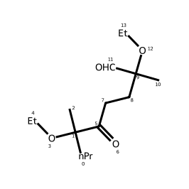 [CH2]CCC(C)(OCC)C(=O)CCC(C)(C=O)OCC